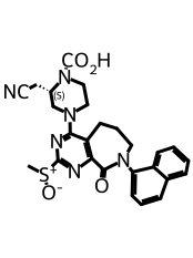 C[S+]([O-])c1nc2c(c(N3CCN(C(=O)O)[C@@H](CC#N)C3)n1)CCCN(c1cccc3ccccc13)C2=O